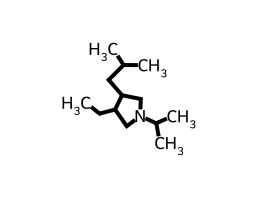 CCC1CN(C(C)C)CC1CC(C)C